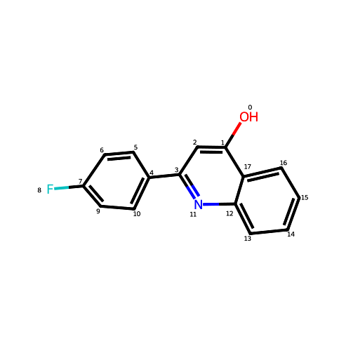 Oc1cc(-c2ccc(F)cc2)nc2ccccc12